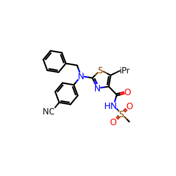 CC(C)c1sc(N(Cc2ccccc2)c2ccc(C#N)cc2)nc1C(=O)NS(C)(=O)=O